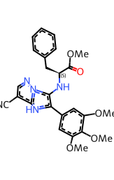 COC(=O)[C@H](Cc1ccccc1)Nc1c(-c2cc(OC)c(OC)c(OC)c2)[nH]c2c(C#N)cnn12